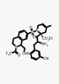 CCOC(=O)[C@]1(C(=O)C(N)Cc2cccc(C#N)c2)CC(C)=CCN1S(=O)(=O)c1ccc2c(c1)C(COC)N(C(=O)C(F)(F)F)CC2